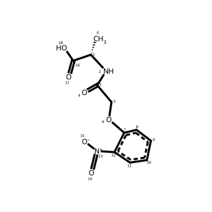 C[C@H](NC(=O)COc1ccccc1[N+](=O)[O-])C(=O)O